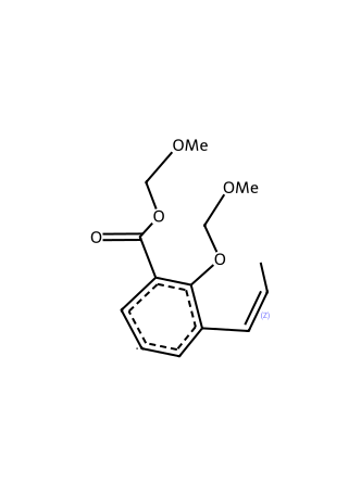 C/C=C\c1c[c]cc(C(=O)OCOC)c1OCOC